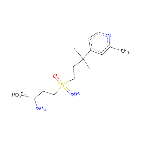 CC(C)(CCS(=N)(=O)CC[C@H](N)C(=O)O)c1ccnc(C(F)(F)F)c1